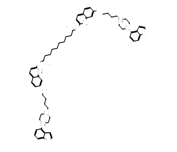 O=C(CCCCCCCCC(=O)Oc1ccc2ccc(OCCCCN3CCN(c4cccc5sccc45)CC3)cc2n1)Oc1ccc2ccc(OCCCCN3CCN(c4cccc5sccc45)CC3)cc2n1